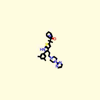 Cc1cc(C)cc(-c2[nH]c3sc(C(C)(C)C(=O)N4C5CCC4CC5)cc3c2CCN2CCN(c3ncccn3)CC2)c1